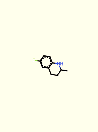 CC1[C]Cc2cc(F)ccc2N1